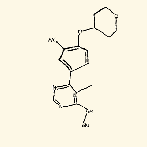 CCC(C)Nc1ncnc(-c2ccc(OC3CCOCC3)c(C#N)c2)c1C